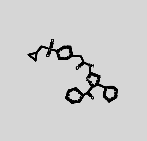 O=C(Cc1ccc(S(=O)(=O)CC2CC2)cc1)Nc1cc(-c2ccccc2)c(C(=O)c2ccccc2)s1